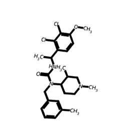 COc1ccc(C(C)NC(=O)N(Cc2cccc(C)c2)C2CCN(C)CC2C)c(Cl)c1Cl